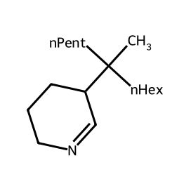 CCCCCCC(C)(CCCCC)C1C=NCCC1